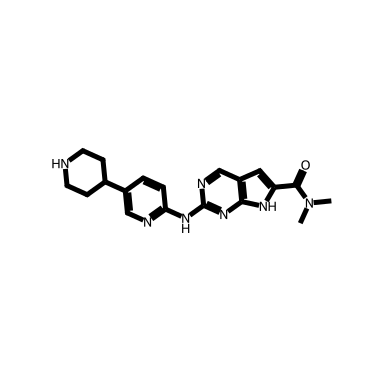 CN(C)C(=O)c1cc2cnc(Nc3ccc(C4CCNCC4)cn3)nc2[nH]1